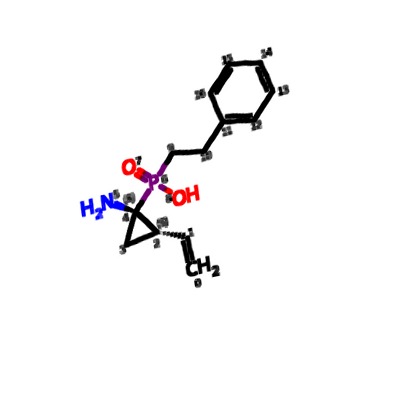 C=C[C@@H]1C[C@]1(N)P(=O)(O)CCc1ccccc1